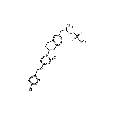 CNS(=O)(=O)CCN(C)Cc1ccc2c(c1)CCC(n1ccc(OCc3ccc(Cl)cn3)cc1=O)=C2